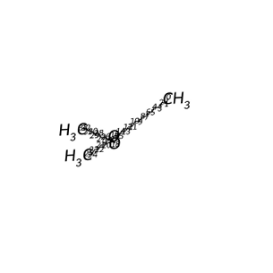 CCCCCCCCCCCCCCCCOC(=O)C(CCCCCC)CCCCCCCC